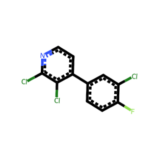 Fc1ccc(-c2ccnc(Cl)c2Cl)cc1Cl